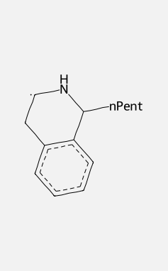 CCCCCC1N[CH]Cc2ccccc21